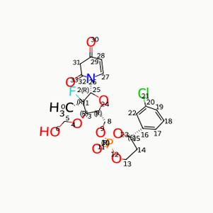 C[C@@]1(F)[C@H](OCO)[C@@H](CO[P@@]2(=O)OCC[C@@H](c3cccc(Cl)c3)O2)O[C@H]1N1C=CC(=O)CC1=O